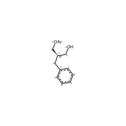 CC(=O)OC[C@@H](CO)Cc1ccccc1